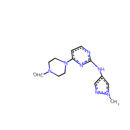 Cn1cc(Nc2nccc(N3CCN(C=O)CC3)n2)cn1